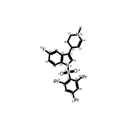 CC(C)c1cc(C(C)C)c(S(=O)(=O)n2cc(C3C=CN(C)CC3)c3cc(F)ccc32)c(C(C)C)c1